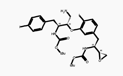 CC(C)(C)OC(=O)N[C@@H](Cc1ccc(I)c(O[C@@H](CN)[C@H](Cc2ccc(I)cc2)NC(=O)OC(C)(C)C)c1)[C@@H]1CO1